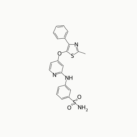 Cc1nc(-c2ccccc2)c(Oc2ccnc(Nc3cccc(S(N)(=O)=O)c3)c2)s1